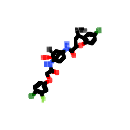 CNC1CC(C(=O)NC23CCC(NC(=O)COc4ccc(Cl)c(F)c4)(CC2)[C@@H](O)C3)Oc2ccc(Cl)cc21